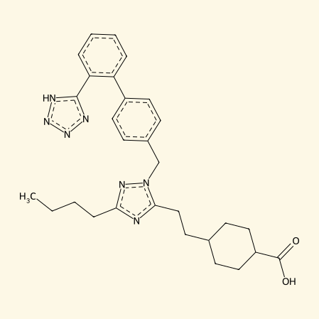 CCCCc1nc(CCC2CCC(C(=O)O)CC2)n(Cc2ccc(-c3ccccc3-c3nnn[nH]3)cc2)n1